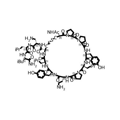 CC[C@H](C)[C@H](NC(=O)[C@H](CC(C)C)NC(=O)[C@H](CN)NC(=O)[C@@H]1CSSC[C@H](NC(C)=O)C(=O)N2CCC[C@H]2C(=O)N2CCC[C@H]2C(=O)N[C@@H](Cc2ccc(O)cc2)C(=O)N[C@@H](CC(C)C)C(=O)N2CCC[C@H]2C(=O)N[C@H](CCN)C(=O)N[C@@H](Cc2ccc(O)cc2)C(=O)N[C@@H](CC(C)C)C(=O)N1)C(N)=O